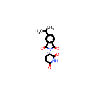 CC(C)c1ccc2c(c1)C(=O)N([C@H]1CCC(=O)NC1=O)C2=O